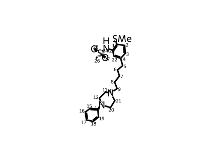 CSc1ccc(CCCCCN2CCN(c3ccccc3)CC2)cc1NS(C)(=O)=O